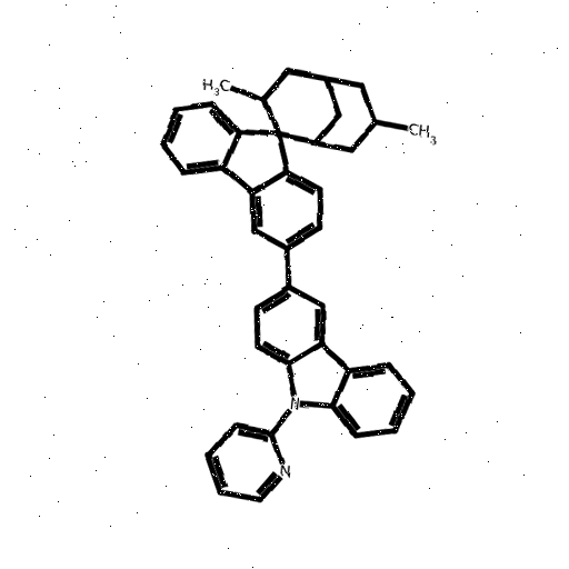 CC1CC2CC(C)C3(c4ccccc4-c4cc(-c5ccc6c(c5)c5ccccc5n6-c5ccccn5)ccc43)C(C1)C2